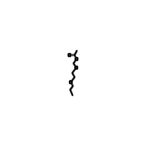 CCCOCCOCOC(C)=O